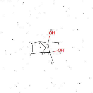 CC1(O)C2C=CC(C2)C1(C)O